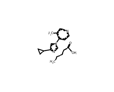 CCCCC(=O)O.FC(F)(F)c1cnccc1-n1cnc(C2CC2)c1